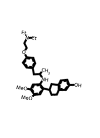 CCN(CC)CCOc1ccc(CC(C)Nc2cc(OC)c(OC)cc2C2CCc3cc(O)ccc3C2)cc1